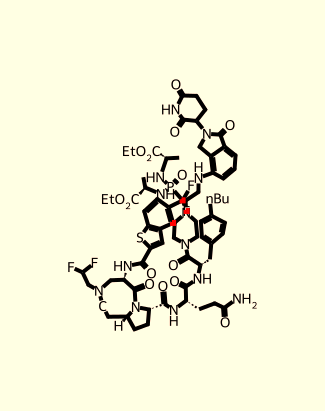 CCCCc1ccc(C[C@H](NC(=O)[C@H](CCC(N)=O)NC(=O)[C@@H]2CC[C@@H]3CCN(CC(F)F)C[C@H](NC(=O)c4cc5cc(C(F)(F)P(=O)(N[C@@H](C)C(=O)OCC)N[C@H](C)C(=O)OCC)ccc5s4)C(=O)N32)C(=O)N2CCN(CCNc3cccc4c3CN(C3CCC(=O)NC3=O)C4=O)CC2)cc1